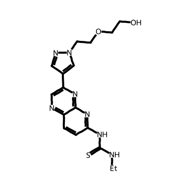 CCNC(=S)Nc1ccc2ncc(-c3cnn(CCOCCO)c3)nc2n1